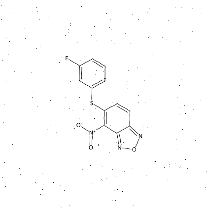 O=[N+]([O-])c1c(Sc2cccc(F)c2)ccc2nonc12